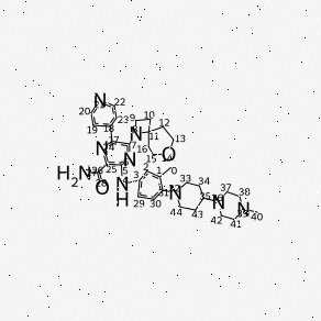 Cc1cc(Nc2nc(N3CCC34CCOCC4)c(-c3ccncc3)nc2C(N)=O)ccc1N1CCC(N2CCN(C)CC2)CC1